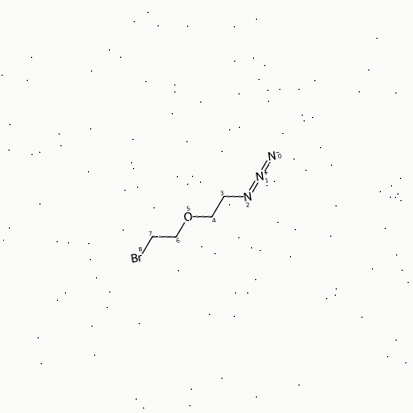 [N-]=[N+]=NCCOCCBr